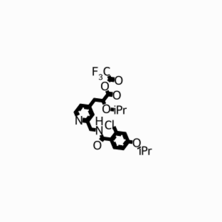 CC(C)Oc1ccc(C(=O)NCc2cc(CC(OC(C)C)C(=O)OC(=O)C(F)(F)F)ccn2)c(Cl)c1